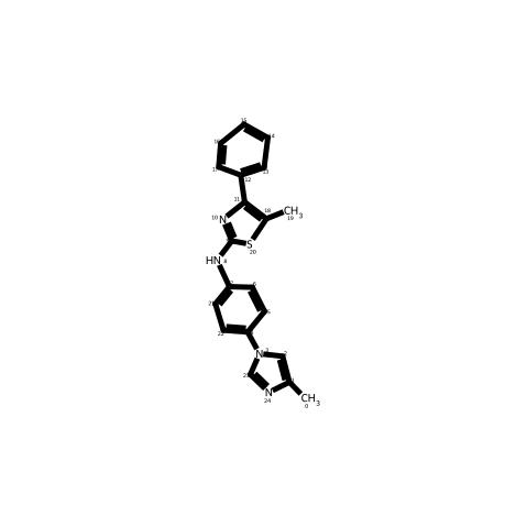 Cc1cn(-c2ccc(Nc3nc(-c4ccccc4)c(C)s3)cc2)cn1